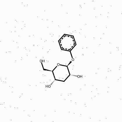 OC[C@H]1O[C@@H](Oc2ccccc2)[C@H](O)C[C@@H]1O